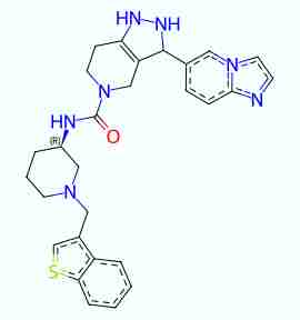 O=C(N[C@@H]1CCCN(Cc2csc3ccccc23)C1)N1CCC2=C(C1)C(c1ccc3nccn3c1)NN2